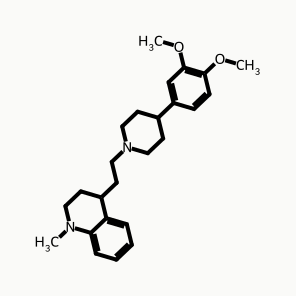 COc1ccc(C2CCN(CCC3CCN(C)c4ccccc43)CC2)cc1OC